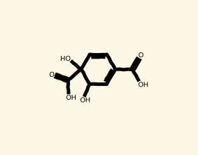 O=C(O)C1=CC(O)C(O)(C(=O)O)C=C1